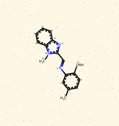 COc1ccc(C)cc1/N=C/c1nc2ccccc2n1C